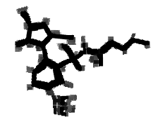 CCCC[NH][Ti][C](C)(C)c1ccccc1C1=C(C)C(C)=CC1C.Cl.Cl